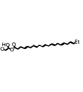 CC/C=C/C/C=C/C/C=C/C/C=C/C/C=C/C/C=C/CCC(=O)OC(O)CO